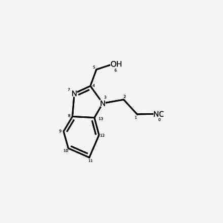 [C-]#[N+]CCn1c(CO)nc2ccccc21